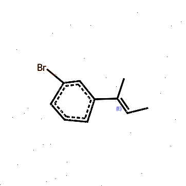 C/C=C(\C)c1cccc(Br)c1